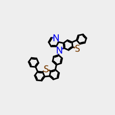 c1ccc(-c2cccc3c2sc2c(-c4ccc(-n5c6cc7sc8ccccc8c7cc6c6ncccc65)cc4)cccc23)cc1